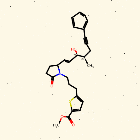 COC(=O)c1ccc(CCCN2C(=O)CCC2C=C[C@@H](O)[C@H](C)CC#Cc2ccccc2)s1